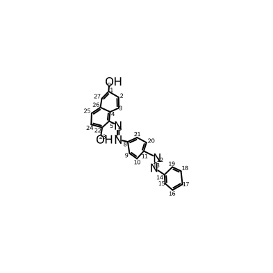 Oc1ccc2c(/N=N/c3ccc(/N=N/c4ccccc4)cc3)c(O)ccc2c1